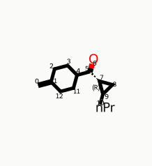 C=C1CCC(C(=O)[C@@H]2CC2CCC)CC1